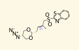 C/C(=C\C[C@H]1OC[C@@H](N=[N+]=[N-])CO1)CS(=O)(=O)c1nc2ccccc2s1